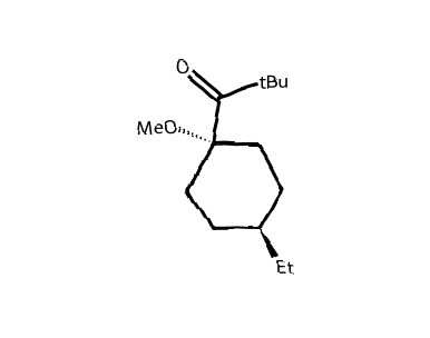 CC[C@H]1CC[C@@](OC)(C(=O)C(C)(C)C)CC1